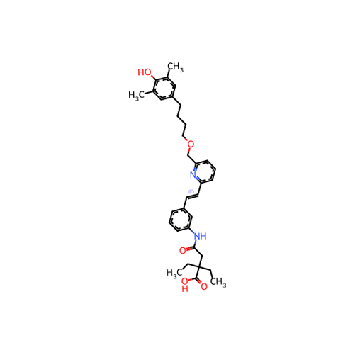 CCC(CC)(CC(=O)Nc1cccc(/C=C/c2cccc(COCCCCc3cc(C)c(O)c(C)c3)n2)c1)C(=O)O